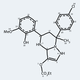 CCOC(=O)OC1=CNN2C1NC(c1cccc(OC)c1O)CC2(C)c1ccc(Cl)cc1